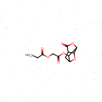 O=C(CS(=O)(=O)O)OCC(=O)OC1C2CC3C(=O)OC1C3O2